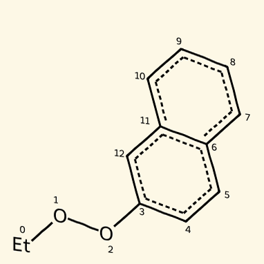 CCOOc1ccc2ccccc2c1